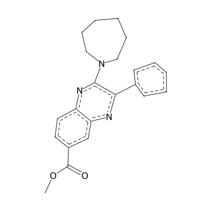 COC(=O)c1ccc2nc(N3CCCCCC3)c(-c3ccccc3)nc2c1